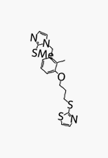 CSc1nccn1Cc1cccc(OCCCSc2nccs2)c1C